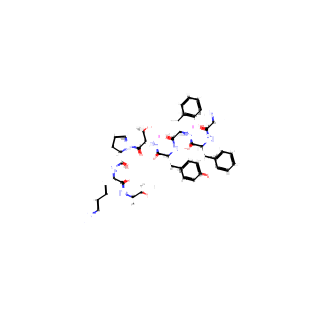 C[C@@H](O)[C@H](NC(=O)[C@H](CCCCN)NC(=O)[C@@H]1CCCN1C(=O)[C@@H](NC(=O)[C@H](Cc1ccc(O)cc1)NC(=O)[C@H](Cc1ccccc1)NC(=O)[C@H](Cc1ccccc1)NC(=O)CN)[C@@H](C)O)C(=O)O